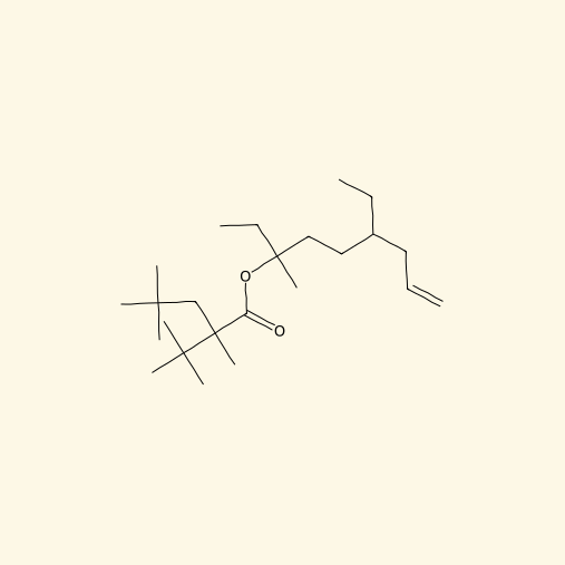 C=CCC(CC)CCC(C)(CC)OC(=O)C(C)(CC(C)(C)C)C(C)(C)C